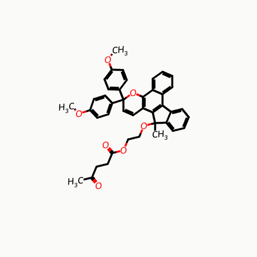 COc1ccc(C2(c3ccc(OC)cc3)C=Cc3c4c(c5ccccc5c3O2)-c2ccccc2C4(C)OCCOC(=O)CCC(C)=O)cc1